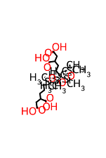 C[Si](C)(C)O[Si](C)(C)O[Si](C)(CCCC(CC(=O)O)C(=O)O)O[Si](C)(C)CCCC(CC(=O)O)C(=O)O